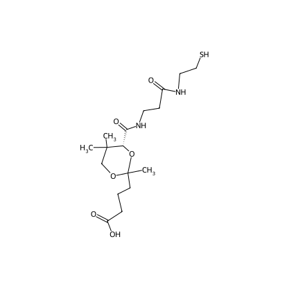 CC1(CCCC(=O)O)OCC(C)(C)[C@H](C(=O)NCCC(=O)NCCS)O1